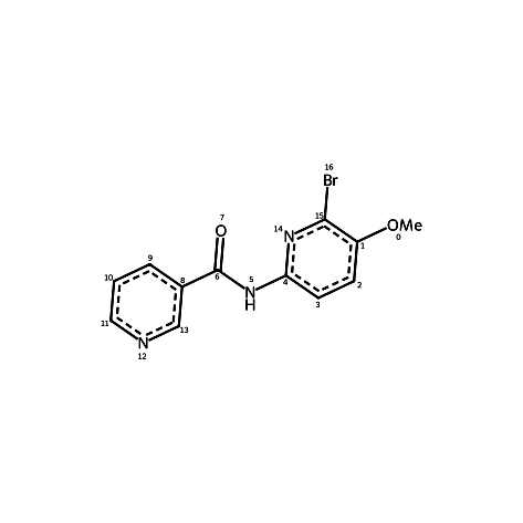 COc1ccc(NC(=O)c2cccnc2)nc1Br